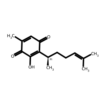 CC(C)=CCC[C@@H](C)C1=C(O)C(=O)C(C)=CC1=O